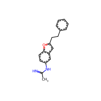 CC(=N)Nc1ccc2oc(CCc3ccccc3)cc2c1